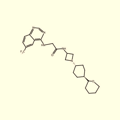 O=C(CNc1ncnc2ccc(C(F)(F)F)cc12)NC1CN([C@H]2CC[C@H](C3CCCCO3)CC2)C1